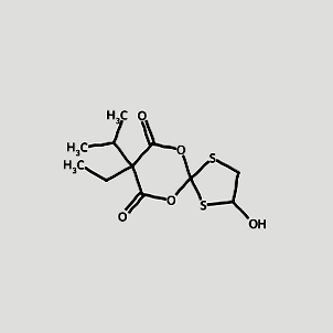 CCC1(C(C)C)C(=O)OC2(OC1=O)SCC(O)S2